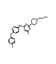 Cc1ccc(Oc2ccc(Nc3nc(C)nc(N4CCN(CCO)CC4)n3)nn2)cc1